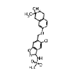 CC1(C)CCc2ccc(OCc3cc4onc(NS(C)(=O)=O)c4cc3Cl)cc2C1